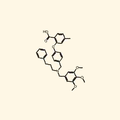 COc1cc(CN(CCCc2ccccc2)Cc2ccc(Oc3cc(C)ccc3C(=O)O)cc2)cc(OC)c1OC